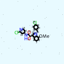 COc1cccc2c(C(=O)C(=O)Nc3ccnc(Cl)c3)cn(Cc3ccc(Cl)cc3)c12